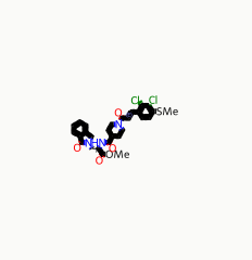 COC(=O)[C@H](CN1Cc2ccccc2C1=O)NC(=O)C1CCN(C(=O)/C=C/c2ccc(SC)c(Cl)c2Cl)CC1